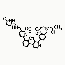 COc1nc(-c2cccc(-c3ccnc(-c4ccc5c(c4)S(=O)(=O)CCN(C[C@@H](C)O)C5)c3Cl)c2Cl)ccc1CNC[C@@H]1CCC(=O)N1